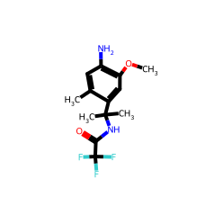 COc1cc(C(C)(C)NC(=O)C(F)(F)F)c(C)cc1N